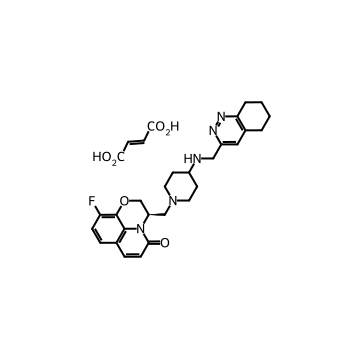 O=C(O)/C=C/C(=O)O.O=c1ccc2ccc(F)c3c2n1[C@H](CN1CCC(NCc2cc4c(nn2)CCCC4)CC1)CO3